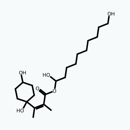 CC(C(=O)OC(O)CCCCCCCCCO)=C(C)C1(O)CCC(O)CC1